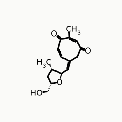 C/C1=C/C(=O)CC(=C/C2O[C@H](CO)C[C@@H]2C)/C=C\C1=O